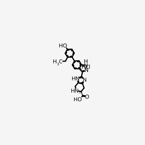 CCc1cc(O)ccc1-c1ccc2c(-c3nc4c([nH]3)CN[C@H](C(=O)O)C4)n[nH]c2c1.Cl